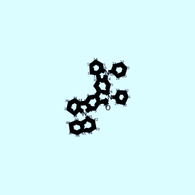 O=c1c2cc3c(cc2c2cc4c5ccccc5n(-c5ccccc5)c4cc2n1-c1ccccc1)c1ccccc1n3-c1cccc2ccccc12